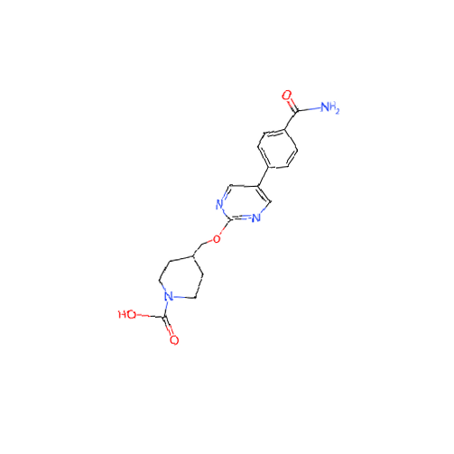 NC(=O)c1ccc(-c2cnc(OCC3CCN(C(=O)O)CC3)nc2)cc1